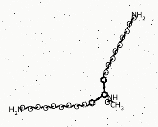 CCC(=O)Nc1cc(C#Cc2ccc(COCCOCCOCCOCCOCCOCCOCCOCCON)cc2)cc(C#Cc2ccc(COCCOCCOCCOCCOCCOCCOCCOCCON)cc2)c1